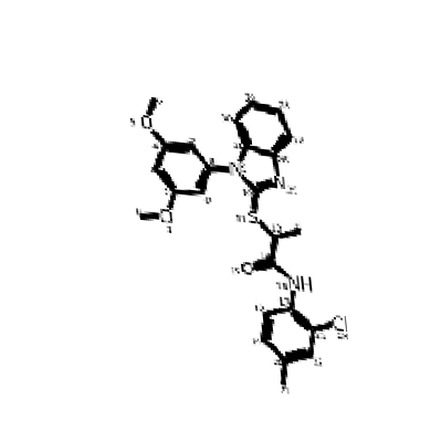 COc1cc(OC)cc(-n2c(SC(C)C(=O)Nc3ccc(C)cc3Cl)nc3ccccc32)c1